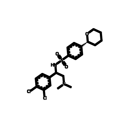 CN(C)CC(NS(=O)(=O)c1ccc([C@H]2CCCCO2)cc1)c1ccc(Cl)c(Cl)c1